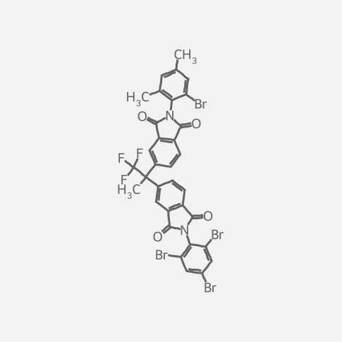 Cc1cc(C)c(N2C(=O)c3ccc(C(C)(c4ccc5c(c4)C(=O)N(c4c(Br)cc(Br)cc4Br)C5=O)C(F)(F)F)cc3C2=O)c(Br)c1